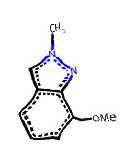 COc1cccc2cn(C)nc12